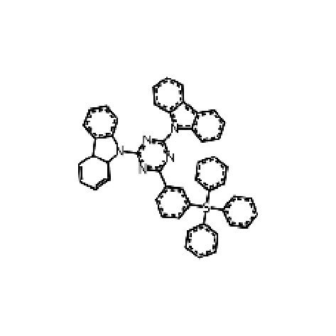 C1=CC2c3ccccc3N(c3nc(-c4cccc(S(c5ccccc5)(c5ccccc5)c5ccccc5)c4)nc(-n4c5ccccc5c5ccccc54)n3)C2C=C1